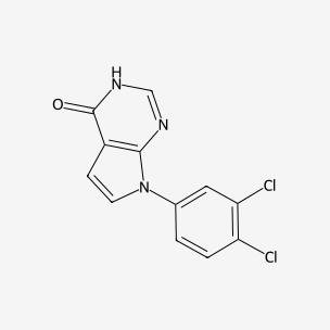 O=c1[nH]cnc2c1ccn2-c1ccc(Cl)c(Cl)c1